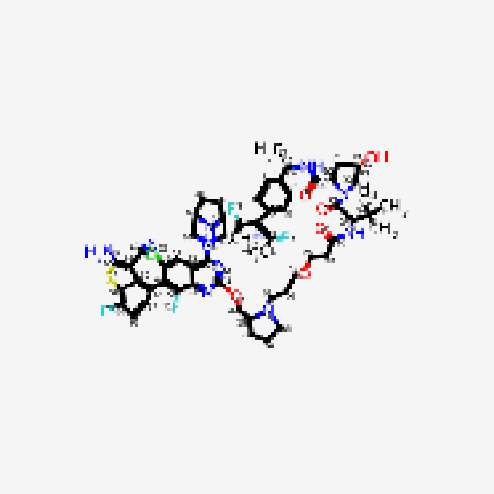 C=C(F)/C(=C(\C)F)c1ccc([C@H](C)NC(=O)[C@@H]2C[C@@H](O)CN2C(=O)[C@@H](NC(=O)CCOCCCN2CCCC2COc2nc(N3CC4CCC(C3)N4)c3cc(Cl)c(-c4ccc(F)c5sc(N)c(C#N)c45)c(F)c3n2)C(C)(C)C)cc1